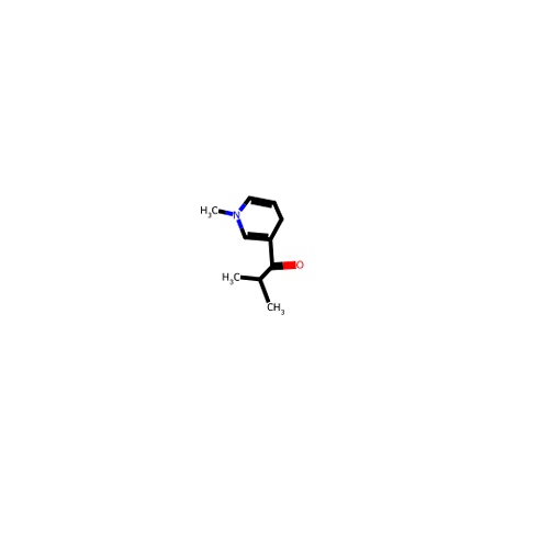 CC(C)C(=O)C1=CN(C)C=CC1